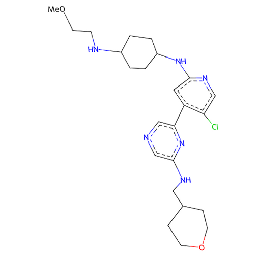 COCCNC1CCC(Nc2cc(-c3cncc(NCC4CCOCC4)n3)c(Cl)cn2)CC1